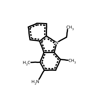 CCn1c2ccccc2c2c(C)c(N)cc(C)c21